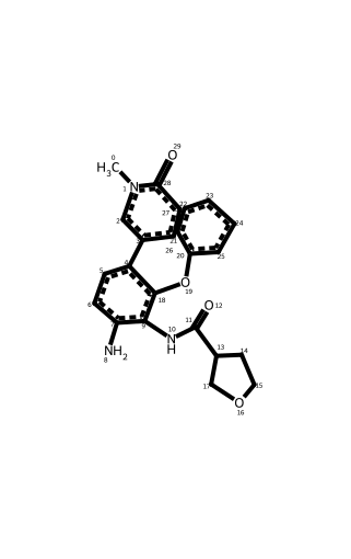 Cn1cc(-c2ccc(N)c(NC(=O)C3CCOC3)c2Oc2ccccc2)ccc1=O